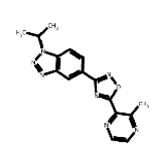 Cc1nccnc1-c1nc(-c2ccc3c(c2)nnn3C(C)C)no1